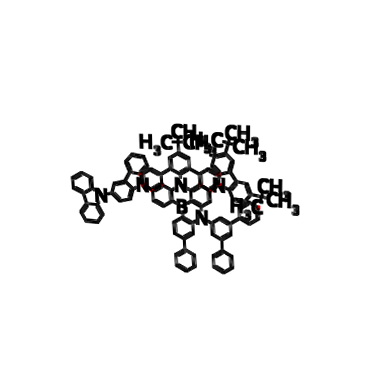 CC(C)(C)c1cc(-c2ccccc2)c(N2c3cc(-n4c5ccccc5c5cc(-n6c7ccccc7c7ccccc76)ccc54)ccc3B3c4ccc(-c5ccccc5)cc4N(c4cc(-c5ccccc5)cc(-c5ccccc5)c4)c4cc(-n5c6ccc(C(C)(C)C)cc6c6cc(C(C)(C)C)ccc65)cc2c43)c(-c2ccccc2)c1